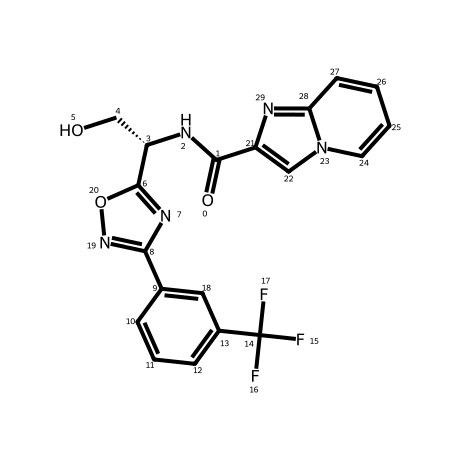 O=C(N[C@@H](CO)c1nc(-c2cccc(C(F)(F)F)c2)no1)c1cn2ccccc2n1